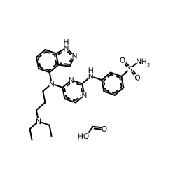 CCN(CC)CCCN(c1ccnc(Nc2cccc(S(N)(=O)=O)c2)n1)c1cccc2[nH]ncc12.O=CO